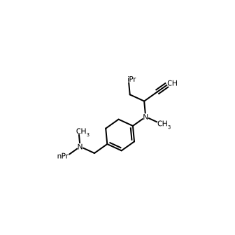 C#CC(CC(C)C)N(C)C1=CC=C(CN(C)CCC)CC1